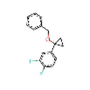 Fc1[c]c(C2(OCc3ccccc3)CC2)ccc1F